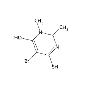 CC1N=C(S)C(Br)=C(O)N1C